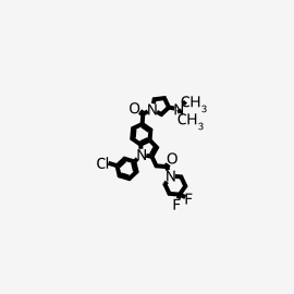 CN(C)C1CCN(C(=O)c2ccc3c(c2)cc(CC(=O)N2CCC(F)(F)CC2)n3-c2cccc(Cl)c2)C1